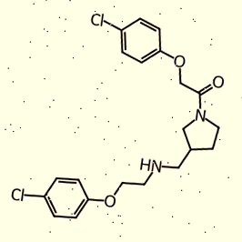 O=C(COc1ccc(Cl)cc1)N1CCC(CNCCOc2ccc(Cl)cc2)C1